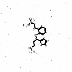 CNCCC(Oc1ccccc1CCN(C)C)c1cccs1